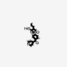 CCCC(CS(=O)(=O)c1ccc(C(=O)c2ccncc2)cc1)C(=O)O